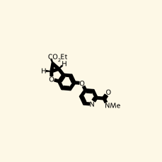 CCOC(=O)[C@@H]1[C@H]2Oc3ccc(Oc4ccnc(C(=O)NC)c4)cc3[C@H]21